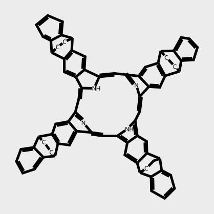 c1ccc2c(c1)C1CCC2c2cc3c(cc21)-c1cc2[nH]c(cc4nc(cc5[nH]c(cc-3n1)c1cc3c(cc51)C1CCC3c3ccccc31)-c1cc3c(cc1-4)C1CCC3c3ccccc31)c1cc3c(cc21)C1CCC3c2ccccc21